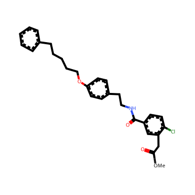 COC(=O)Cc1cc(C(=O)NCCc2ccc(OCCCCCc3ccccc3)cc2)ccc1Cl